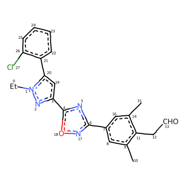 CCn1nc(-c2nc(-c3cc(C)c(CC=O)c(C)c3)no2)cc1-c1ccccc1Cl